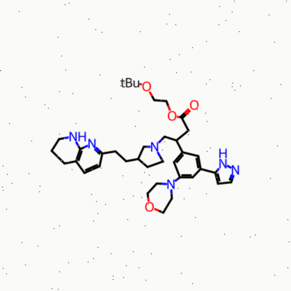 CC(C)(C)OCCOC(=O)CC(CN1CCC(CCc2ccc3c(n2)NCCC3)C1)c1cc(-c2ccn[nH]2)cc(N2CCOCC2)c1